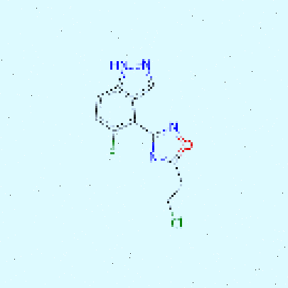 Fc1ccc2[nH]ncc2c1-c1noc(CCCl)n1